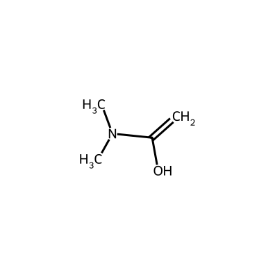 C=C(O)N(C)C